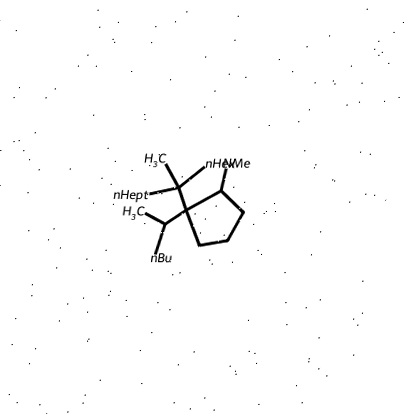 CCCCCCCC(C)(CCCCCC)C1(C(C)CCCC)CCCC1NC